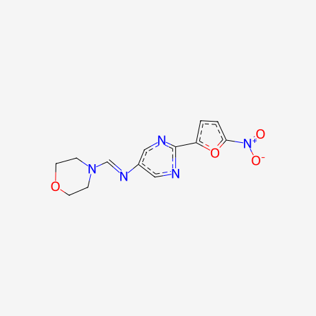 O=[N+]([O-])c1ccc(-c2ncc(N=CN3CCOCC3)cn2)o1